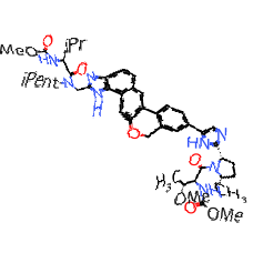 CCC[C@H](C)N(Cc1nc2ccc3cc4c(cc3c2[nH]1)OCc1cc(-c2cnc([C@@H]3CC[C@H](C)N3C(=O)[C@@H](NC(=O)OC)[C@@H](C)OC)[nH]2)ccc1-4)C(=O)[C@@H](NC(=O)OC)C(C)C